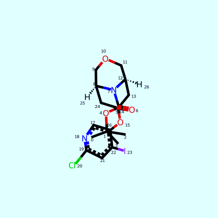 CC(C)(C)OC(=O)N1[C@@H]2COC[C@H]1CC(Oc1cnc(Cl)cc1I)C2